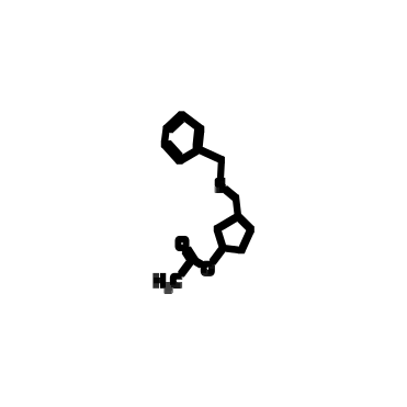 CC(=O)OC1CCC(CSCc2ccccc2)C1